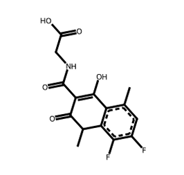 Cc1cc(F)c(F)c2c1C(O)=C(C(=O)NCC(=O)O)C(=O)C2C